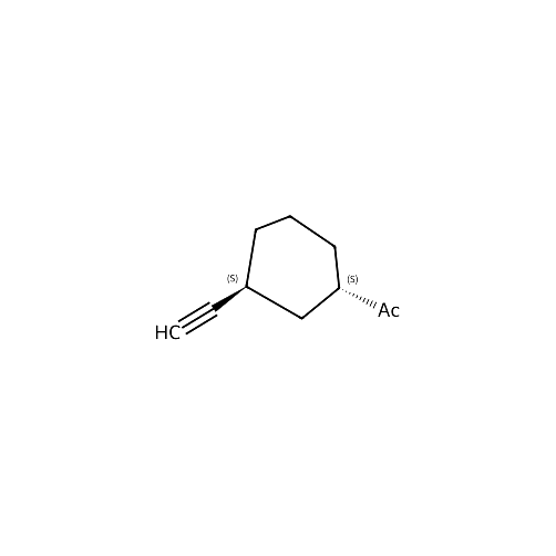 C#C[C@H]1CCC[C@H](C(C)=O)C1